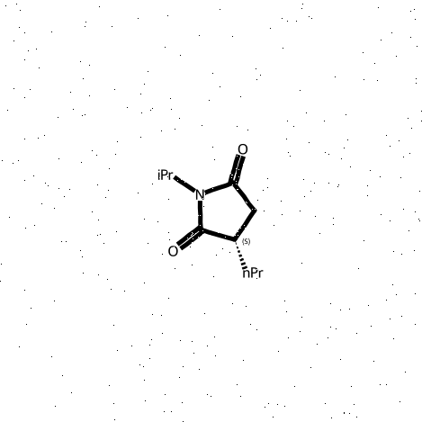 CCC[C@H]1CC(=O)N(C(C)C)C1=O